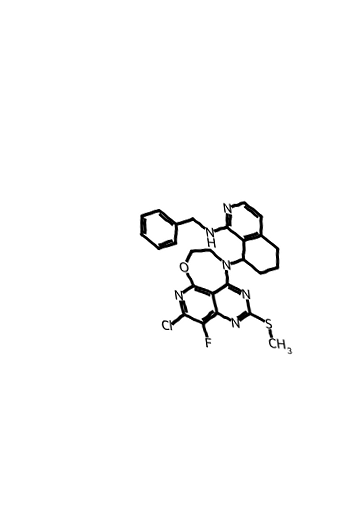 CSc1nc2c3c(nc(Cl)c(F)c3n1)OCCN2C1CCCc2ccnc(NCc3ccccc3)c21